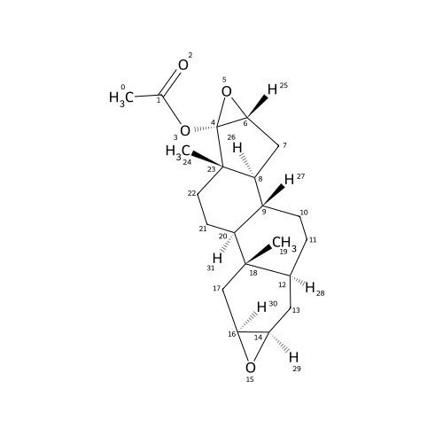 CC(=O)O[C@]12O[C@@H]1C[C@H]1[C@@H]3CC[C@H]4C[C@H]5O[C@H]5C[C@]4(C)[C@H]3CC[C@@]12C